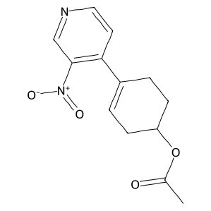 CC(=O)OC1CC=C(c2ccncc2[N+](=O)[O-])CC1